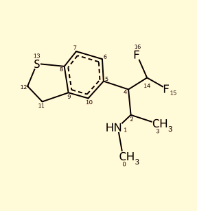 CNC(C)C(c1ccc2c(c1)CCS2)C(F)F